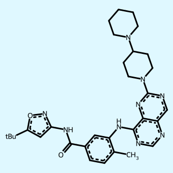 Cc1ccc(C(=O)Nc2cc(C(C)(C)C)on2)cc1Nc1ncnc2cnc(N3CCC(N4CCCCC4)CC3)nc12